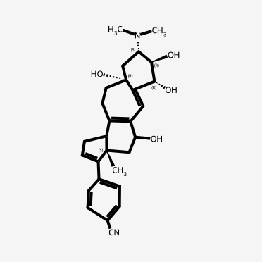 CN(C)[C@H]1C[C@]2(O)CCC3=C(C=C2[C@@H](O)[C@@H]1O)C(O)C[C@]1(C)C(c2ccc(C#N)cc2)=CCC31